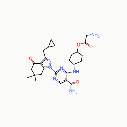 CC1(C)CC(=O)c2c(CC3CC3)nn(-c3ncc(C(N)=O)c(NC4CCC(OC(=O)CN)CC4)n3)c2C1